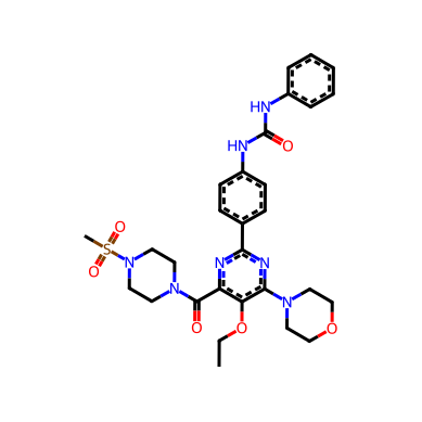 CCOc1c(C(=O)N2CCN(S(C)(=O)=O)CC2)nc(-c2ccc(NC(=O)Nc3ccccc3)cc2)nc1N1CCOCC1